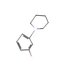 O[C@@H]1CCCN(c2cccc(Br)c2)C1